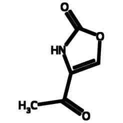 CC(=O)c1coc(=O)[nH]1